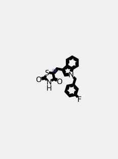 O=C1NC(=O)/C(=C\c2cn(Cc3cccc(F)c3)c3ccccc23)S1